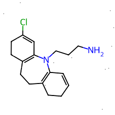 NCCCN1C2=C(CCC=C2)CCC2=C1C=C(Cl)CC2